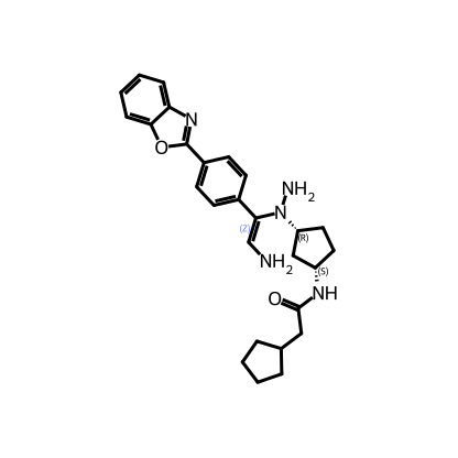 N/C=C(/c1ccc(-c2nc3ccccc3o2)cc1)N(N)[C@@H]1CC[C@H](NC(=O)CC2CCCC2)C1